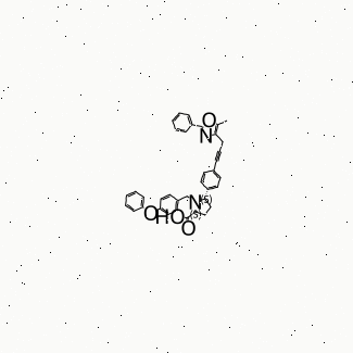 Cc1oc(-c2ccccc2)nc1CC#Cc1ccc([C@@H]2CC[C@@H](C(=O)O)N2Cc2ccc(Oc3ccccc3)cc2)cc1